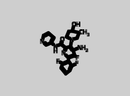 CC1CN(c2c(C(=O)Nc3cccnc3)nc(-c3c(F)cccc3F)c(F)c2N)CCC1O